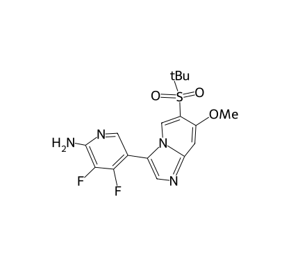 COc1cc2ncc(-c3cnc(N)c(F)c3F)n2cc1S(=O)(=O)C(C)(C)C